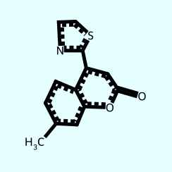 Cc1ccc2c(-c3nccs3)cc(=O)oc2c1